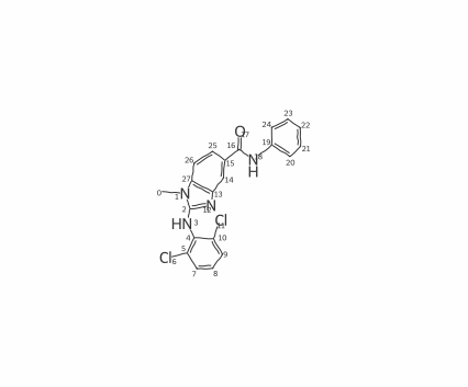 Cn1c(Nc2c(Cl)cccc2Cl)nc2cc(C(=O)Nc3ccccc3)ccc21